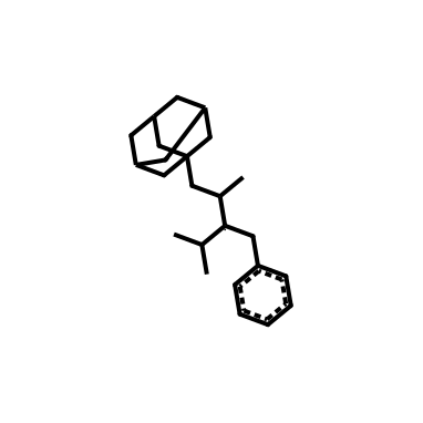 CC(C)[C](Cc1ccccc1)C(C)CC12CC3CC(CC(C3)C1)C2